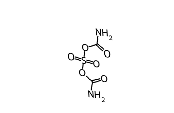 NC(=O)OS(=O)(=O)OC(N)=O